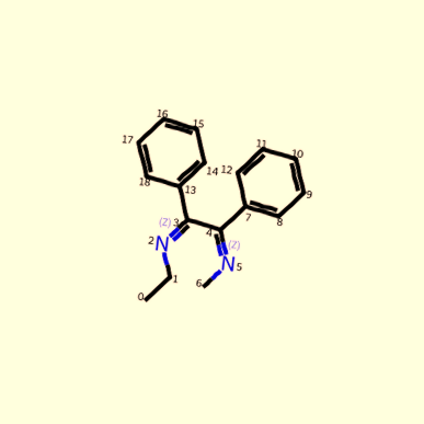 CC/N=C(\C(=N/C)c1ccccc1)c1ccccc1